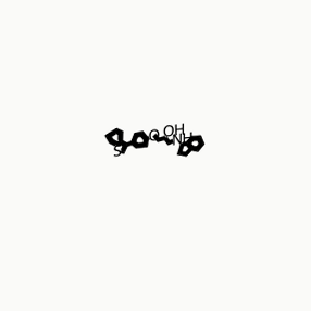 OC(CNC1CCc2ccccc21)COc1ccc(-c2csc3ccccc23)cc1